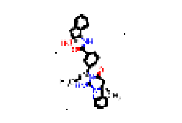 CCC[C@H](c1cccc(C(=O)N[C@@H]2c3ccccc3C[C@H]2O)c1)N1C(=N)N[C@@](CC)(c2ccccc2)CC1=O